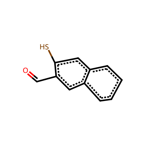 O=Cc1cc2ccccc2cc1S